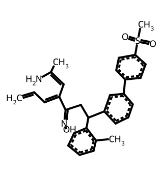 C=C/C=C(\C=C(\C)N)C(/CC(c1cccc(-c2ccc(S(C)(=O)=O)cc2)c1)c1ccccc1C)=N/O